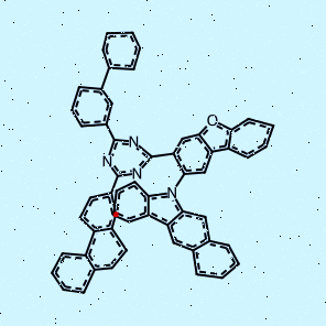 c1ccc(-c2cccc(-c3nc(-c4ccc5c(ccc6ccccc65)c4)nc(-c4cc5oc6ccccc6c5cc4-n4c5ccccc5c5cc6ccccc6cc54)n3)c2)cc1